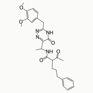 COc1ccc(Cc2nnc(C(C)NC(=O)C(CCCc3ccccc3)C(C)=O)c(=O)[nH]2)cc1OC